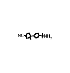 Cc1cc(C#N)ccc1-c1ccc(C(C)(C)N)cc1